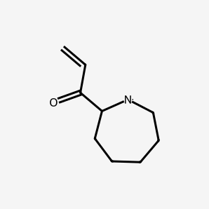 C=CC(=O)C1CCCCC[N]1